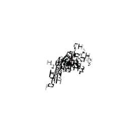 CCC[CH2][Sn](/[CH]=C/[C@H](OC)[C@H](C)[C@@H](OC)[C@@H](C)C(=O)N[C@H](C(=O)N[C@@H](Cc1cccc(O[Si](C)(C)C(C)(C)C)c1)C(=O)N1CCC[C@@H](C(=O)NCc2cccc(I)c2)N1)C(C)C)([CH2]CCC)[CH2]CCC